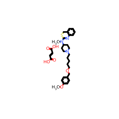 COc1ccc(COCCCCCN2CCC(N(C)C3=Nc4ccccc4CS3)CC2)cc1.O=C(O)/C=C/C(=O)O